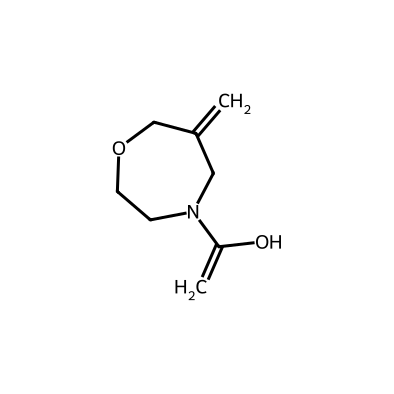 C=C1COCCN(C(=C)O)C1